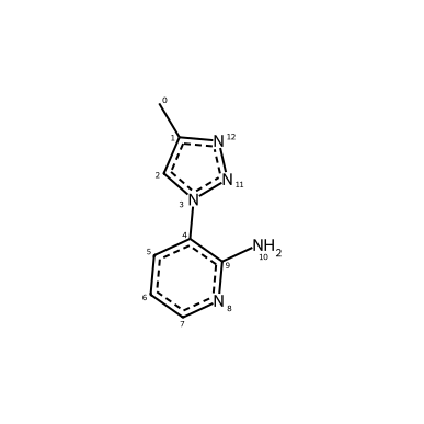 Cc1cn(-c2cccnc2N)nn1